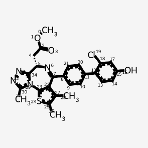 COC(=O)C[C@@H]1N=C(c2ccc(-c3ccc(O)cc3Cl)cc2)c2c(sc(C)c2C)-n2c(C)nnc21